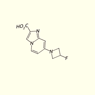 O=C(O)c1cn2ccc(N3CC(F)C3)cc2n1